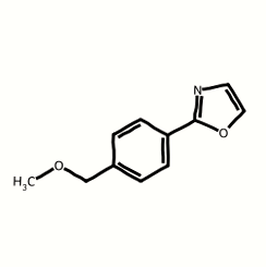 COCc1ccc(-c2ncco2)cc1